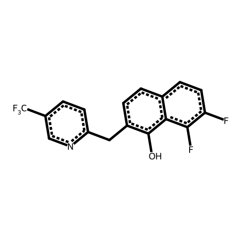 Oc1c(Cc2ccc(C(F)(F)F)cn2)ccc2ccc(F)c(F)c12